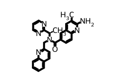 Cc1cc2cc(C(=O)N(Cc3ccc4ccccc4n3)[C@H](C)c3ncccn3)ccc2nc1N